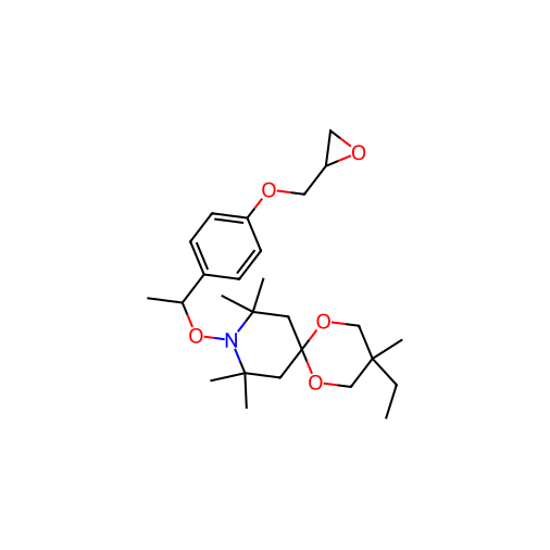 CCC1(C)COC2(CC(C)(C)N(OC(C)c3ccc(OCC4CO4)cc3)C(C)(C)C2)OC1